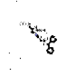 NC1=NC(CC(=O)O)=C/S1=N/OCC(=O)OC(c1ccccc1)c1ccccc1